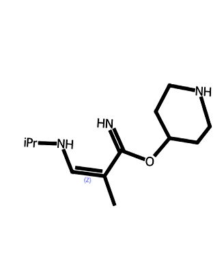 C/C(=C/NC(C)C)C(=N)OC1CCNCC1